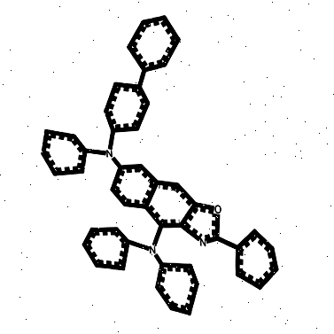 c1ccc(-c2ccc(N(c3ccccc3)c3ccc4c(N(c5ccccc5)c5ccccc5)c5nc(-c6ccccc6)oc5cc4c3)cc2)cc1